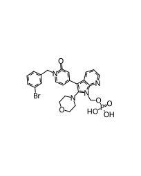 O=c1cc(-c2c(N3CCOCC3)n(COP(=O)(O)O)c3ncccc23)ccn1Cc1cccc(Br)c1